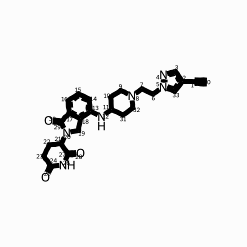 C#Cc1cnn(CCN2CCC(Nc3cccc4c3CN(C3CCC(=O)NC3=O)C4=O)CC2)c1